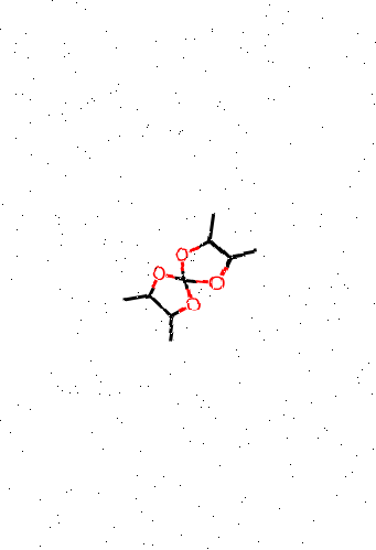 CC1OC2(OC1C)OC(C)C(C)O2